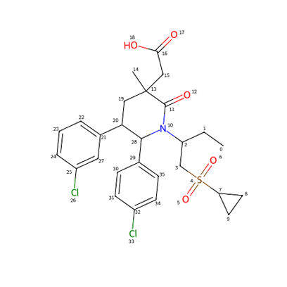 CCC(CS(=O)(=O)C1CC1)N1C(=O)C(C)(CC(=O)O)CC(c2cccc(Cl)c2)C1c1ccc(Cl)cc1